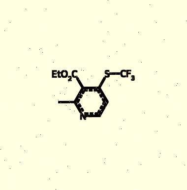 CCOC(=O)c1c(SC(F)(F)F)ccnc1C